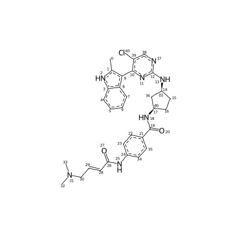 Cc1[nH]c2ccccc2c1-c1nc(N[C@H]2CC[C@@H](NC(=O)c3ccc(NC(=O)C=CCN(C)C)cc3)C2)ncc1Cl